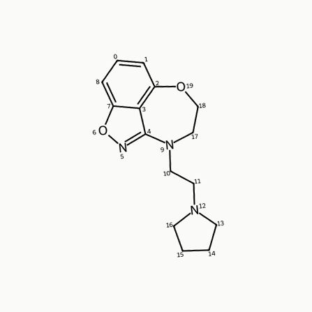 c1cc2c3c(noc3c1)N(CCN1CCCC1)CCO2